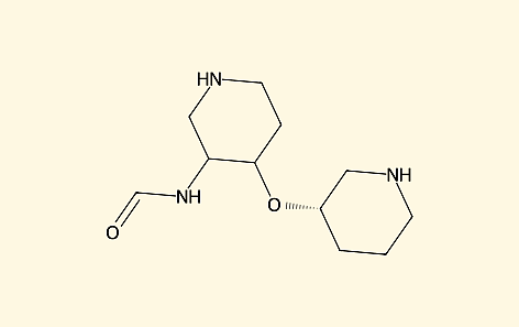 O=CNC1CNCCC1O[C@H]1CCCNC1